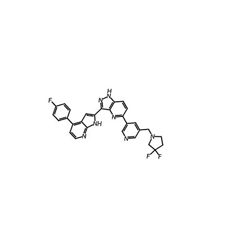 Fc1ccc(-c2ccnc3[nH]c(-c4n[nH]c5ccc(-c6cncc(CN7CCC(F)(F)C7)c6)nc45)cc23)cc1